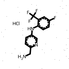 Cl.NCc1ccc(Nc2ccc(F)cc2C(F)(F)F)cn1